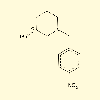 CC(C)(C)[C@@H]1CCCN(Cc2ccc([N+](=O)[O-])cc2)C1